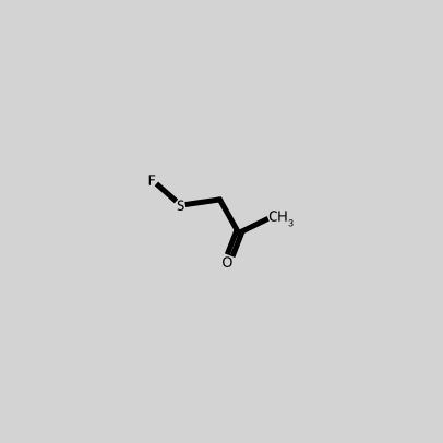 CC(=O)CSF